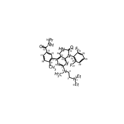 CCN(CC)CCN(C)c1nc(-c2cc(C(=O)NC(C)C)ccc2C)c2c(n1)N(c1c(F)cccc1F)C(=O)NC2